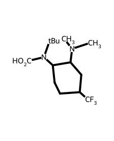 CN(C)C1CC(C(F)(F)F)CCC1N(C(=O)O)C(C)(C)C